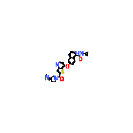 CN(C)[C@@H]1CCN(C(=O)c2cc3nccc(Oc4ccc5c(C(=O)NC6CC6)cccc5c4)c3s2)C1